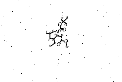 CCC1CC(C)CN(C(=O)OC(C)(C)C)C1CC(=O)OC